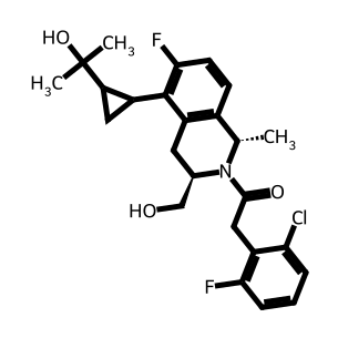 C[C@H]1c2ccc(F)c(C3CC3C(C)(C)O)c2C[C@H](CO)N1C(=O)Cc1c(F)cccc1Cl